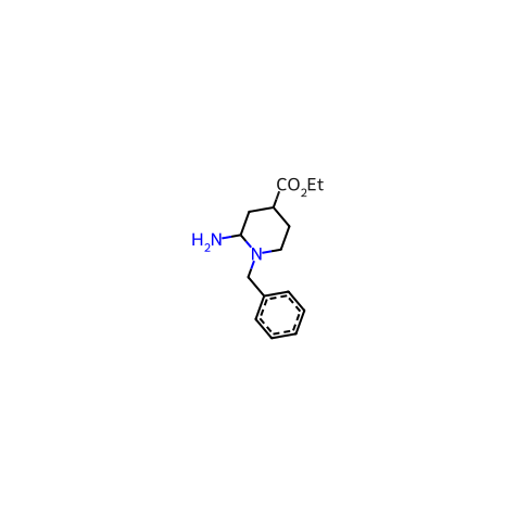 CCOC(=O)C1CCN(Cc2ccccc2)C(N)C1